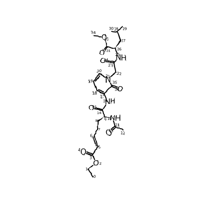 CCOC(=O)/C=C/CC[C@H](NC(C)=O)C(=O)Nc1cccn(CC(=O)N[C@H](CC(C)C)C(=O)OC)c1=O